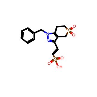 O=S(=O)(O)C=Cc1nn(Cc2ccccc2)c2c1CS(=O)(=O)CC2